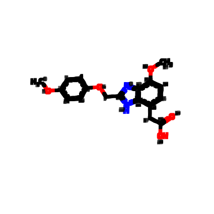 COc1ccc(OCc2nc3c(OC)ccc(CC(=O)O)c3[nH]2)cc1